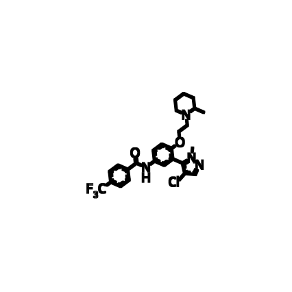 CC1CCCCN1CCOc1ccc(NC(=O)c2ccc(C(F)(F)F)cc2)cc1-c1c(Cl)cnn1C